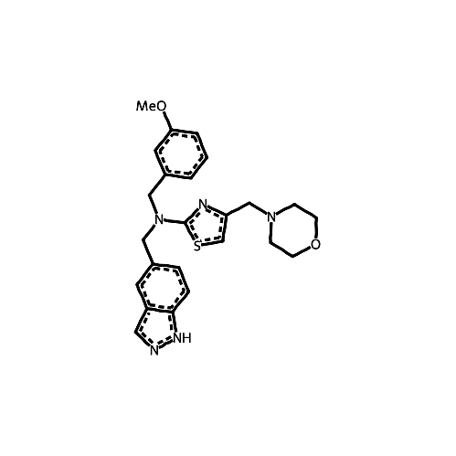 COc1cccc(CN(Cc2ccc3[nH]ncc3c2)c2nc(CN3CCOCC3)cs2)c1